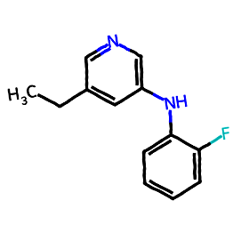 CCc1cncc(Nc2ccccc2F)c1